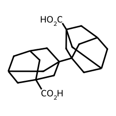 O=C(O)C12CC3CC(C1)CC(C14CC5CC(CC(C(=O)O)(C5)C1)C4)(C3)C2